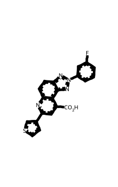 O=C(O)c1cc(-c2ccsc2)nc2ccc3nn(-c4cccc(F)c4)nc3c12